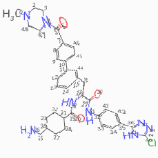 CN1CCN(C(=O)c2ccc(-c3cccc(C[C@H](NC(=O)C4CCC(CN)CC4)C(=O)Nc4ccc(-c5nnc(Cl)[nH]5)cc4)c3)cc2)CC1